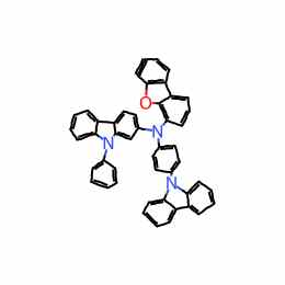 c1ccc2c(c#1)oc1c(N(c3ccc(-n4c5ccccc5c5ccccc54)cc3)c3ccc4c5ccccc5n(-c5ccccc5)c4c3)cccc12